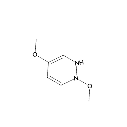 COC1=CNN(OC)C=C1